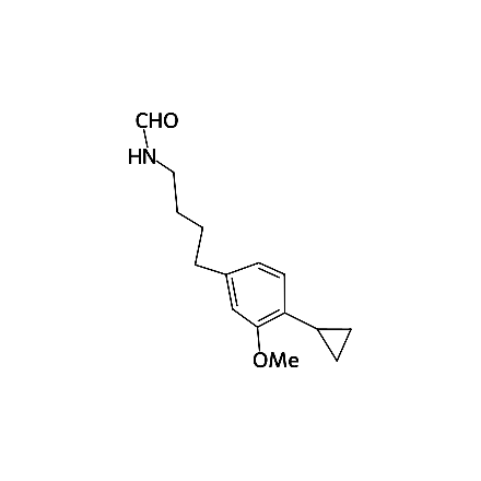 COc1cc(CCCCNC=O)ccc1C1CC1